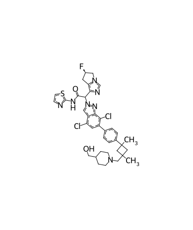 CC1(CN2CCC(CO)CC2)CC(C)(c2ccc(-c3cc(Cl)c4cn(C(C(=O)Nc5nccs5)c5ncn6c5C[C@@H](F)C6)nc4c3Cl)cc2)C1